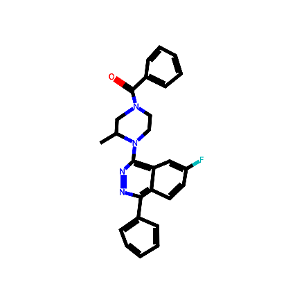 CC1CN(C(=O)c2ccccc2)CCN1c1nnc(-c2ccccc2)c2ccc(F)cc12